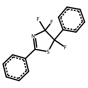 FC1(F)N=C(c2ccccc2)SC1(F)c1ccccc1